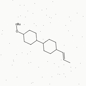 CC=CC1CCC(C2CCC(OCCCC)CC2)CC1